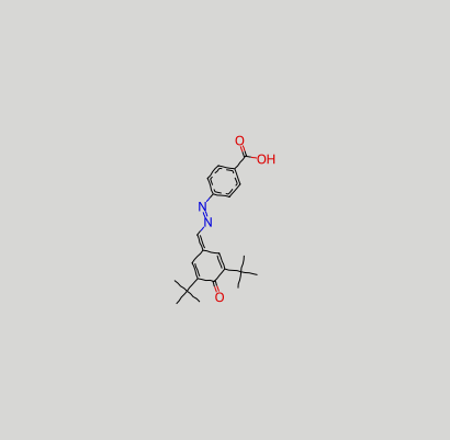 CC(C)(C)C1=CC(=CN=Nc2ccc(C(=O)O)cc2)C=C(C(C)(C)C)C1=O